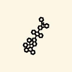 c1ccc(-n2c3ccccc3c3cc(-c4c5ccccc5c(-c5ccc6c7c(ccc6c5)-c5c(c6ccccc6c6ccccc56)C7(c5ccccc5)c5ccccc5)c5ccccc45)ccc32)cc1